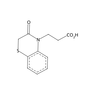 O=C(O)CCN1C(=O)CSc2ccccc21